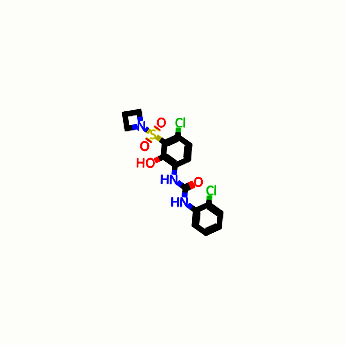 O=C(Nc1ccccc1Cl)Nc1ccc(Cl)c(S(=O)(=O)N2CCC2)c1O